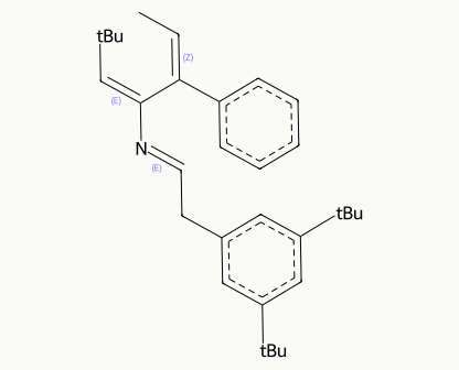 C\C=C(C(=C\C(C)(C)C)/N=C/Cc1cc(C(C)(C)C)cc(C(C)(C)C)c1)\c1ccccc1